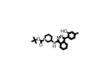 Cc1ccc(-c2nnc(NC3CCCN(C(=O)OC(C)(C)C)C3)c3ccccc23)c(O)c1